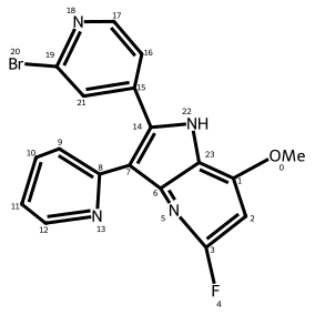 COc1cc(F)nc2c(-c3ccccn3)c(-c3ccnc(Br)c3)[nH]c12